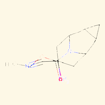 CCOC(=O)N1C2CC(N)(C#N)CC1C1CC12